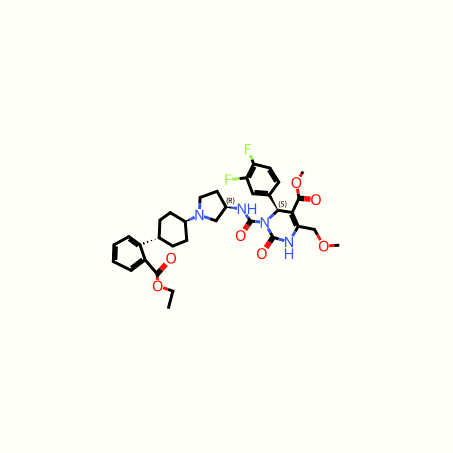 CCOC(=O)c1ccccc1[C@H]1CC[C@H](N2CC[C@@H](NC(=O)N3C(=O)NC(COC)=C(C(=O)OC)[C@@H]3c3ccc(F)c(F)c3)C2)CC1